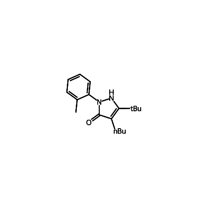 CCCCc1c(C(C)(C)C)[nH]n(-c2ccccc2C)c1=O